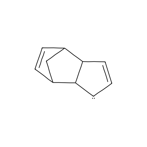 [C]1C=CC2C3C=CC(C3)C12